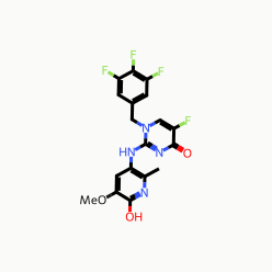 COc1cc(Nc2nc(=O)c(F)cn2Cc2cc(F)c(F)c(F)c2)c(C)nc1O